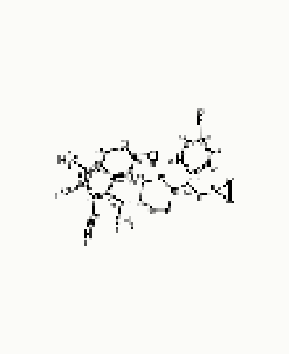 Cn1c(=O)c(C#N)c(N(C)[C@H]2CC[C@H](N(CC3CC3)c3ccc(F)cn3)CC2)c2nc(Cl)ccc21